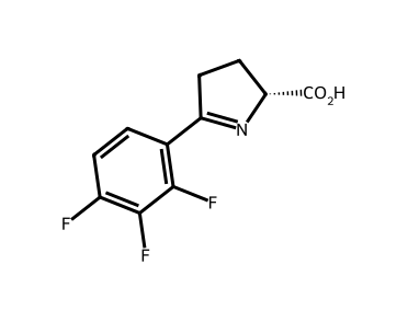 O=C(O)[C@H]1CCC(c2ccc(F)c(F)c2F)=N1